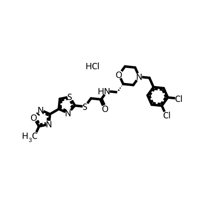 Cc1nc(-c2csc(SCC(=O)NC[C@H]3CN(Cc4ccc(Cl)c(Cl)c4)CCO3)n2)no1.Cl